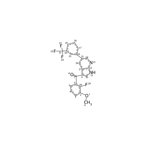 COc1cccc(C(=O)c2c[nH]c3ncc(-c4cccc(C(F)(F)F)c4)cc23)c1F